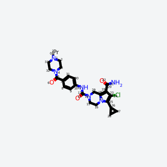 CC(C)N1CCN(C(=O)c2ccc(NC(=O)N3CCn4c(c(C(N)=O)c(Cl)c4C4CC4)C3)cc2)CC1